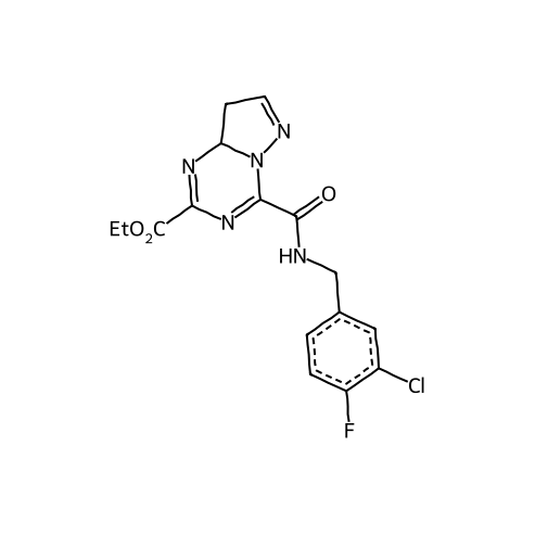 CCOC(=O)C1=NC2CC=NN2C(C(=O)NCc2ccc(F)c(Cl)c2)=N1